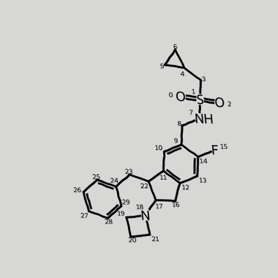 O=S(=O)(CC1CC1)NCc1cc2c(cc1F)CC(N1CCC1)C2Cc1ccccc1